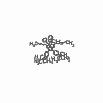 C[CH]=[Zr]([CH2]c1ccccc1)([CH2]c1ccccc1)([CH]1C(CCCCCC)=Cc2c(-c3ccc(C(C)(C)C)cc3)cccc21)[CH]1C(CCCCCC)=Cc2c(-c3ccc(C(C)(C)C)cc3)cccc21